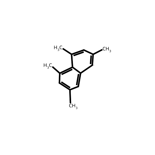 Cc1[c]c2cc(C)cc(C)c2c(C)c1